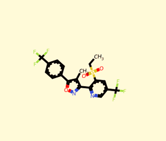 CCS(=O)(=O)c1cc(C(F)(F)F)cnc1-c1noc(-c2ccc(C(F)(F)F)cc2)c1C